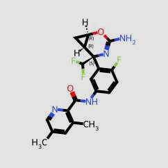 Cc1cnc(C(=O)Nc2ccc(F)c([C@@]3(C(F)F)N=C(N)O[C@@H]4C[C@@H]43)c2)c(C)c1